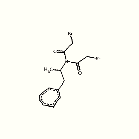 CC(Cc1ccccc1)N(C(=O)CBr)C(=O)CBr